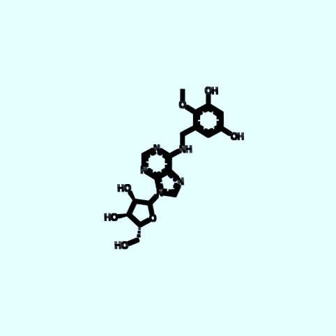 COc1c(O)cc(O)cc1CNc1ncnc2c1ncn2C1O[C@H](CO)[C@@H](O)[C@H]1O